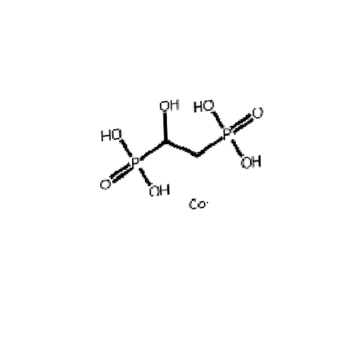 O=P(O)(O)CC(O)P(=O)(O)O.[Co]